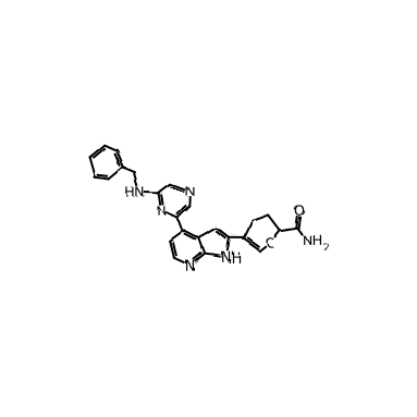 NC(=O)C1CC=C(c2cc3c(-c4cncc(NCc5ccccc5)n4)ccnc3[nH]2)CC1